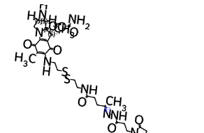 CO[C@@]12[C@H](COC(N)=O)C3=C(C(=O)C(C)=C(NCCSSCCNC(=O)CC/C(C)=N/NC(=O)CCN4C(=O)CC(C)C4=O)C3=O)N1C[C@@H]1N[C@@H]12